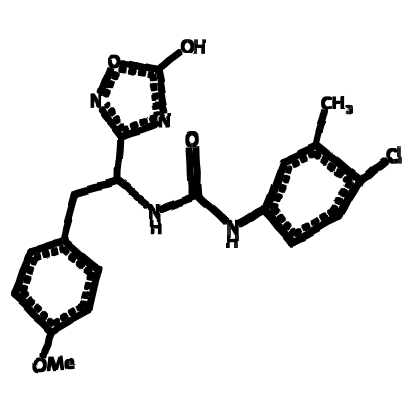 COc1ccc(CC(NC(=O)Nc2ccc(Cl)c(C)c2)c2noc(O)n2)cc1